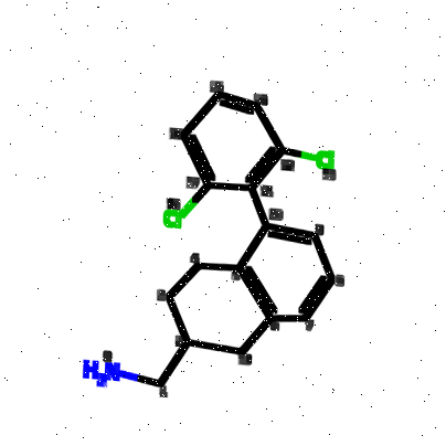 NCC1CCc2c(cccc2-c2c(Cl)cccc2Cl)C1